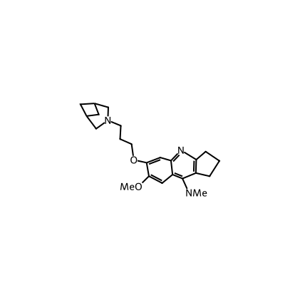 CNc1c2c(nc3cc(OCCCN4CC5CC(C5)C4)c(OC)cc13)CCC2